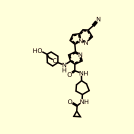 N#Cc1cnn2c(-c3cc(NC45CCC(O)(CC4)CC5)c(C(=O)NC4CCC(NC(=O)C5CC5)CC4)cn3)ccc2c1